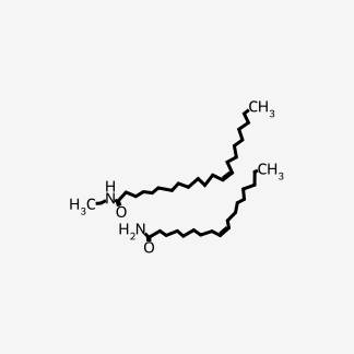 CCCCCCCC/C=C\CCCCCCCC(N)=O.CCCCCCCC/C=C\CCCCCCCCCCCC(=O)NCC